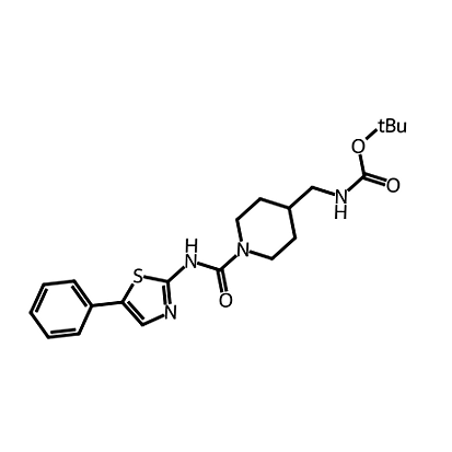 CC(C)(C)OC(=O)NCC1CCN(C(=O)Nc2ncc(-c3ccccc3)s2)CC1